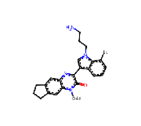 CCc1cccc2c(-c3nc4cc5c(cc4n(OC(C)=O)c3=O)CCC5)cn(CCCN)c12